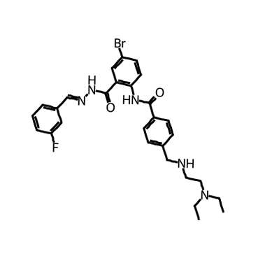 CCN(CC)CCNCc1ccc(C(=O)Nc2ccc(Br)cc2C(=O)NN=Cc2cccc(F)c2)cc1